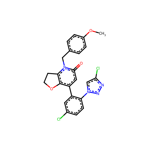 COc1ccc(Cn2c3c(c(-c4cc(Cl)ccc4-n4cc(Cl)nn4)cc2=O)OCC3)cc1